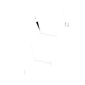 C/N=C\[C@H](F)[C@@H](C)C(I)I